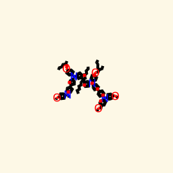 CCCCCCC(CCCCCC)(c1cccc(N(c2ccc(OCC(CC)CCCC)cc2)c2ccc(-c3ccc(N(c4ccc(COC)cc4)c4ccc(OC)cc4)cc3)cc2)c1)c1cc(N(c2ccc(OCC(C)CCCC)cc2)c2ccc(-c3ccc(N(C)c4ccc(OC)cc4)cc3)cc2)ccc1C